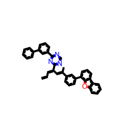 C=C/C=C(\C=C(/C)c1cccc(-c2cccc3c2oc2ccccc23)c1)c1ncnc(-c2cccc(-c3ccccc3)c2)n1